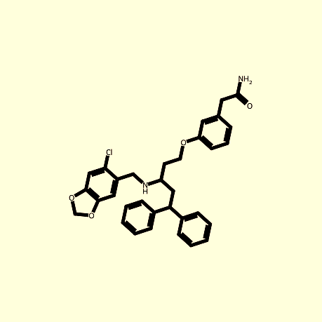 NC(=O)Cc1cccc(OCCC(CC(c2ccccc2)c2ccccc2)NCc2cc3c(cc2Cl)OCO3)c1